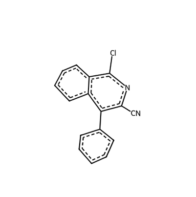 N#Cc1nc(Cl)c2ccccc2c1-c1ccccc1